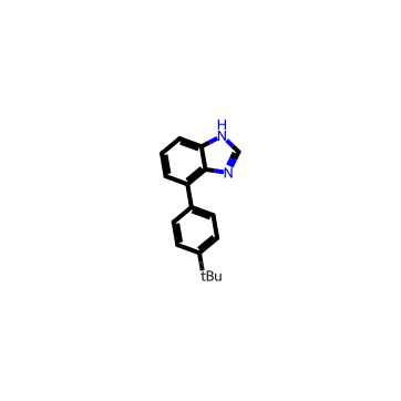 CC(C)(C)c1ccc(-c2cccc3[nH]cnc23)cc1